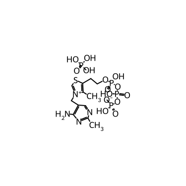 Cc1ncc(C[n+]2csc(CCOP(=O)(O)OP(=O)(O)OP(=O)([O-])O)c2C)c(N)n1.O=P(O)(O)O